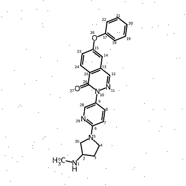 CNC1CCN(c2ccc(-n3ncc4cc(Oc5ccccc5)ccc4c3=O)cn2)C1